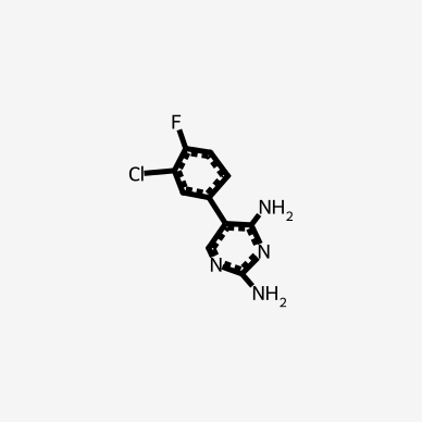 Nc1ncc(-c2ccc(F)c(Cl)c2)c(N)n1